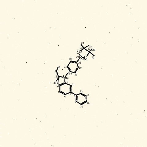 CCc1nc2ccc(-c3ccccc3)cc2n1-c1ccc(B2OC(C)(C)C(C)(C)O2)cc1